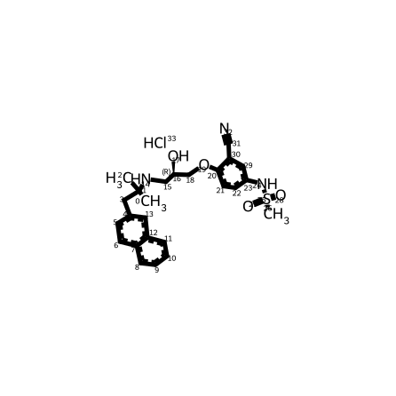 CC(C)(Cc1ccc2ccccc2c1)NC[C@@H](O)COc1ccc(NS(C)(=O)=O)cc1C#N.Cl